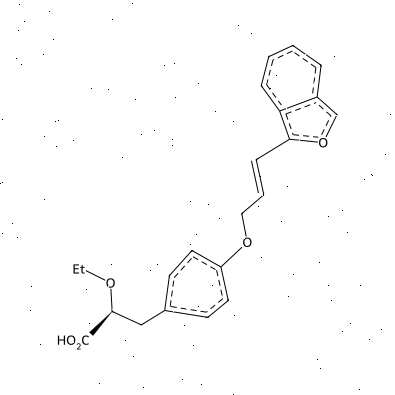 CCO[C@@H](Cc1ccc(OCC=Cc2occ3ccccc23)cc1)C(=O)O